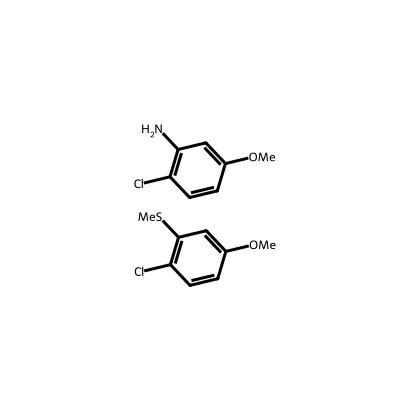 COc1ccc(Cl)c(N)c1.COc1ccc(Cl)c(SC)c1